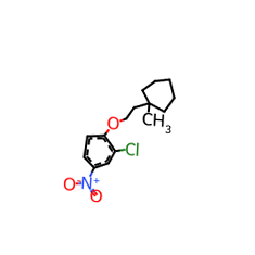 CC1(CCOc2ccc([N+](=O)[O-])cc2Cl)CCCCC1